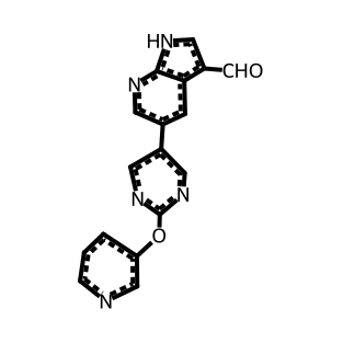 O=Cc1c[nH]c2ncc(-c3cnc(Oc4cccnc4)nc3)cc12